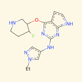 CCn1cc(Nc2nc(OC3CNCCC3F)c3cc[nH]c3n2)cn1